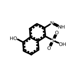 N=Nc1ccc2c(O)cccc2c1S(=O)(=O)O